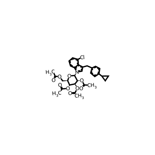 CC(=O)OC[C@H]1O[C@@H](n2cc(Cc3ccc(C4CC4)cc3)c3c(Cl)cccc32)[C@H](OC(C)=O)[C@@H](OC(C)=O)[C@@H]1OC(C)=O